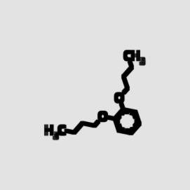 CCCCOc1ccccc1OCCCC